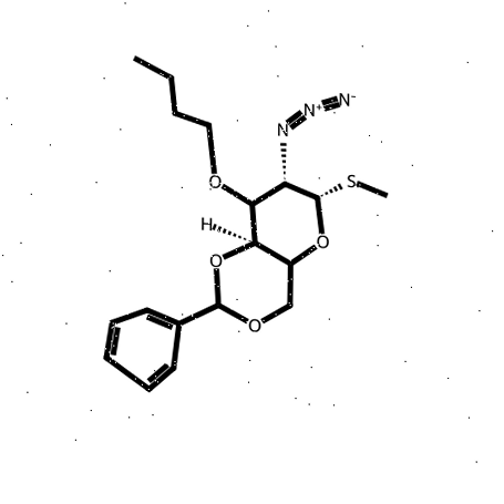 CCCCOC1[C@@H]2OC(c3ccccc3)OCC2O[C@@H](SC)[C@H]1N=[N+]=[N-]